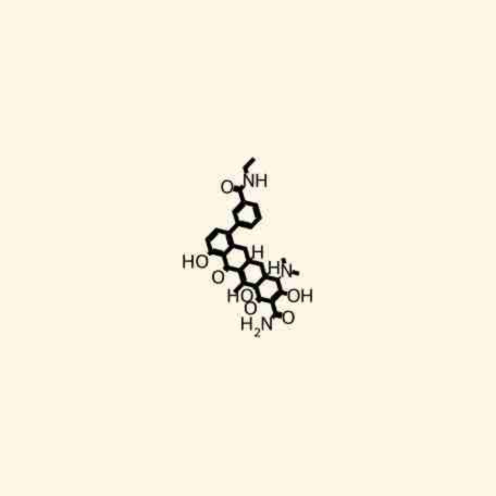 CCNC(=O)c1cccc(-c2ccc(O)c3c2C[C@H]2C[C@H]4[C@H](N(C)C)C(O)=C(C(N)=O)C(=O)[C@@]4(O)C(C)=C2C3=O)c1